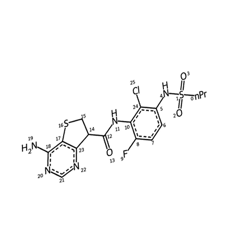 CCCS(=O)(=O)Nc1ccc(F)c(NC(=O)C2CSc3c(N)ncnc32)c1Cl